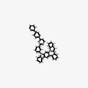 c1ccc(-c2ccc(-c3ccnc(-c4cccc(-n5c6ccccc6c6cc7c8ccccc8c8cc9ccccc9n8c7cc65)c4)n3)cc2)cc1